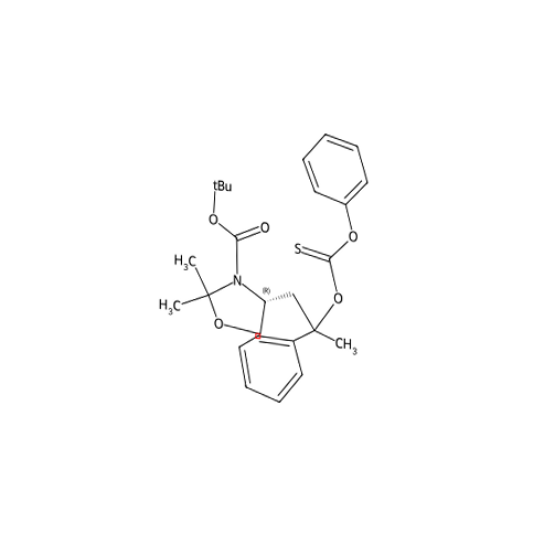 CC(C)(C)OC(=O)N1[C@H](CC(C)(OC(=S)Oc2ccccc2)c2ccccc2)COC1(C)C